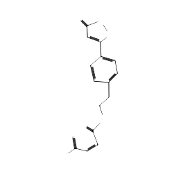 O=C(O)/C=C\C(=O)OCCc1ccc(-c2cc(=S)ss2)cc1